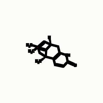 CC=C1[C@H]2C=C(C)C[C@]1(N)c1ccc(=O)[nH]c1C2